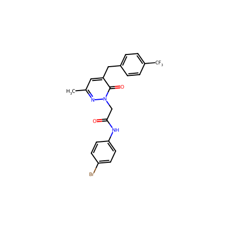 Cc1cc(Cc2ccc(C(F)(F)F)cc2)c(=O)n(CC(=O)Nc2ccc(Br)cc2)n1